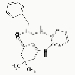 CC1(C)CC(=O)C2=C(C1)Nc1ccccc1NC2/C(Cl)=C/c1ccccc1